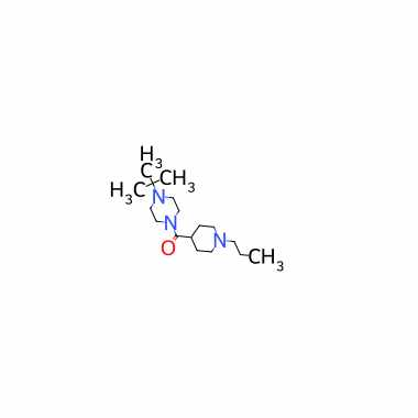 CCCN1CCC(C(=O)N2CCN(C(C)(C)C)CC2)CC1